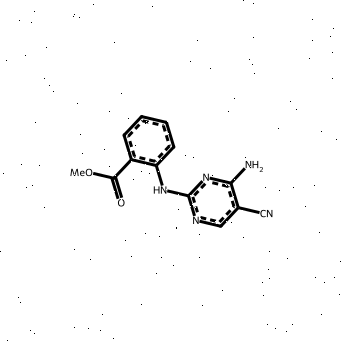 COC(=O)c1ccccc1Nc1ncc(C#N)c(N)n1